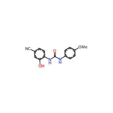 COc1ccc(NC(=O)Nc2ccc(C#N)cc2O)cc1